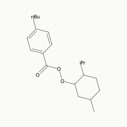 CCCCc1ccc(C(=O)OO[C]2CC(C)CCC2C(C)C)cc1